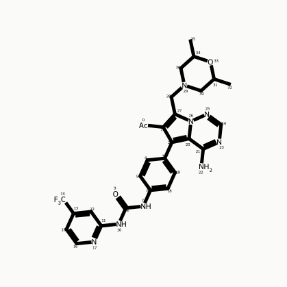 CC(=O)c1c(-c2ccc(NC(=O)Nc3cc(C(F)(F)F)ccn3)cc2)c2c(N)ncnn2c1CN1CC(C)OC(C)C1